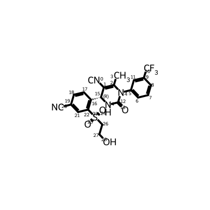 [C-]#[N+]C1=C(C)N(c2cccc(C(F)(F)F)c2)C(=O)N[C@@H]1c1ccc(C#N)cc1S(=O)(=O)CCO